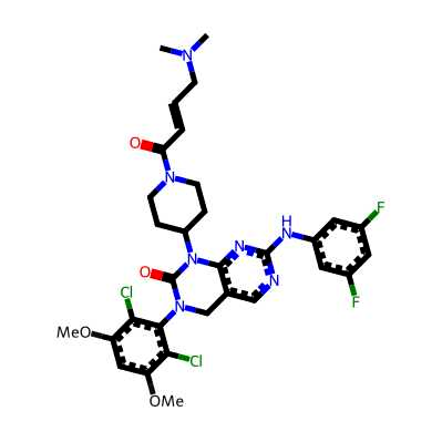 COc1cc(OC)c(Cl)c(N2Cc3cnc(Nc4cc(F)cc(F)c4)nc3N(C3CCN(C(=O)C=CCN(C)C)CC3)C2=O)c1Cl